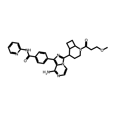 COCCC(=O)N1CCC(c2nc(-c3ccc(C(=O)Nc4ccccn4)cc3)c3c(N)nccn23)C2CCC21